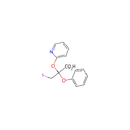 O=C(O)C(CI)(Oc1ccccc1)Oc1ccccn1